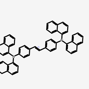 C1=Cc2c(cccc2N(c2ccc(/C=C/c3ccc(N(c4cccc5ccccc45)c4cccc5ccccc45)cc3)cc2)c2cccc3ccccc23)CC1